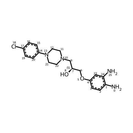 Nc1ccc(OC[C@@H](O)CN2CCN(c3ccc(Cl)cc3)CC2)cc1N